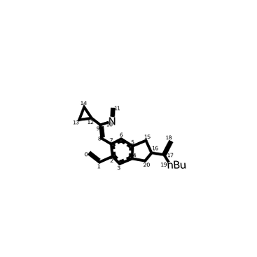 C=Cc1cc2c(cc1/C=C(\N=C)C1CC1)CC(C(=C)CCCC)C2